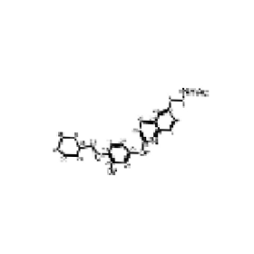 CC(=O)NCCc1ccc2nc(Oc3ccc(OCC4CCCCC4)c(Br)c3)ccc2c1